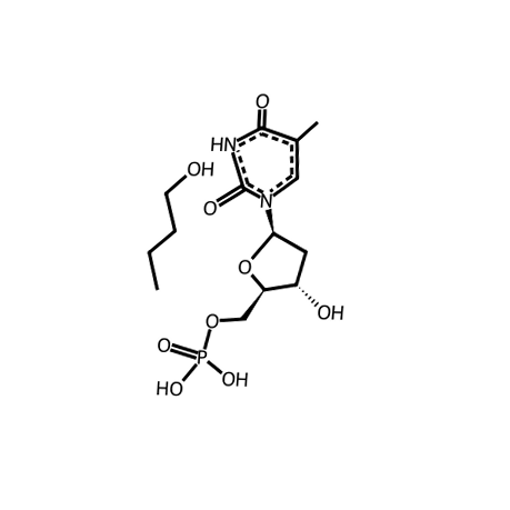 CCCCO.Cc1cn([C@H]2C[C@H](O)[C@@H](COP(=O)(O)O)O2)c(=O)[nH]c1=O